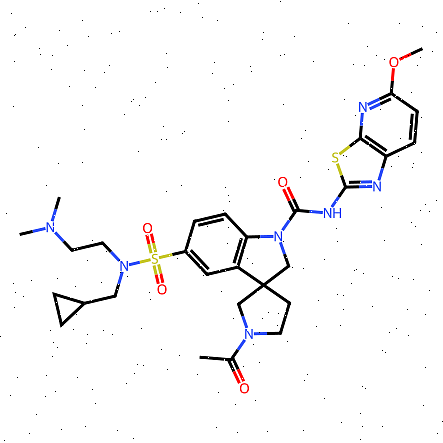 COc1ccc2nc(NC(=O)N3CC4(CCN(C(C)=O)C4)c4cc(S(=O)(=O)N(CCN(C)C)CC5CC5)ccc43)sc2n1